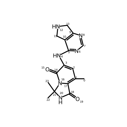 Cc1cc(Nc2ncnc3c2CNC3)c(=O)n2c1C(=O)NC2(C)C